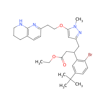 CCOC(=O)CC(Cc1cc(OCCc2ccc3c(n2)NCCC3)n(C)n1)c1cc(C(C)(C)C)ccc1Br